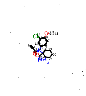 C#CC(=O)N(c1ccc(OC(C)(C)C)c(Cl)c1)C1(C(N)=O)CCCCC1